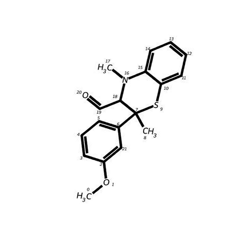 COc1cccc(C2(C)Sc3ccccc3N(C)C2C=O)c1